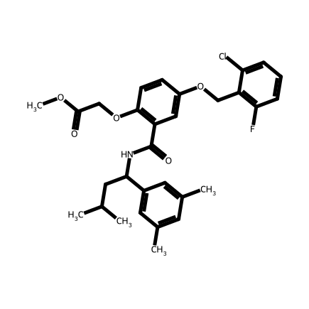 COC(=O)COc1ccc(OCc2c(F)cccc2Cl)cc1C(=O)NC(CC(C)C)c1cc(C)cc(C)c1